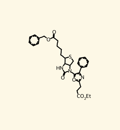 CCOC(=O)CCc1nc(-c2ccccc2)c(N2C(=O)NC3C(CCCCC(=O)OCc4ccccc4)SCC32)o1